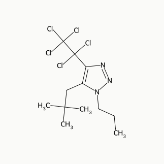 CCCn1nnc(C(Cl)(Cl)C(Cl)(Cl)Cl)c1CC(C)(C)C